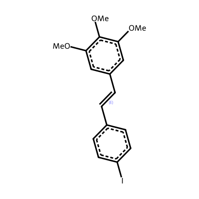 COc1cc(/C=C/c2ccc(I)cc2)cc(OC)c1OC